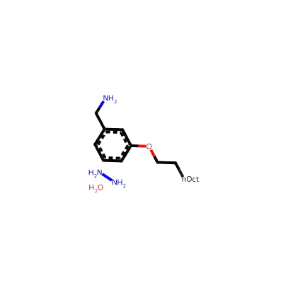 CCCCCCCCCCOc1cccc(CN)c1.NN.O